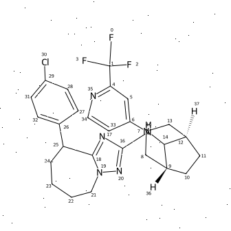 FC(F)(F)c1cc(N2C[C@H]3CC[C@H](C2)C3Nc2nc3n(n2)CCCCC3c2ccc(Cl)cc2)ccn1